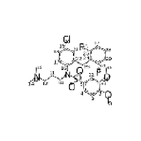 COc1ccc(S(=O)(=O)N(CCCN(C)C)c2ccc(Cl)cc2Cc2c(F)cccc2F)cc1OC